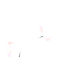 CCCCOC(=O)[C@H]1CC[C@](C)(C(=O)O)CC1